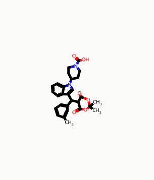 Cc1cccc(C(c2cn(C3CCN(C(=O)O)CC3)c3ccccc23)C2C(=O)OC(C)(C)OC2=O)c1